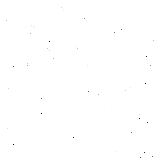 C=CCn1cnc2c(N)nc(OCCCc3ccccc3)nc21